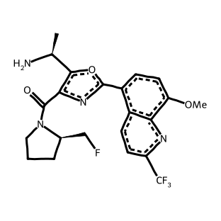 COc1ccc(-c2nc(C(=O)N3CCC[C@@H]3CF)c([C@H](C)N)o2)c2ccc(C(F)(F)F)nc12